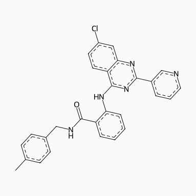 Cc1ccc(CNC(=O)c2ccccc2Nc2nc(-c3cccnc3)nc3cc(Cl)ccc23)cc1